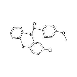 COc1ccc(C(=O)N2c3ccccc3Sc3ccc(Cl)cc32)cc1